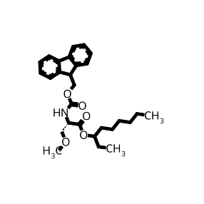 CCCCCCC(CC)OC(=O)[C@H](COC)NC(=O)OCC1c2ccccc2-c2ccccc21